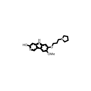 COc1cc2c(cc1OCCCN1CCCC1)[nH]c1cc(O)ncc12